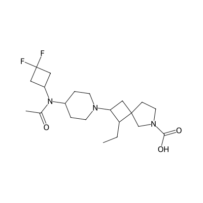 CCC1C(N2CCC(N(C(C)=O)C3CC(F)(F)C3)CC2)CC12CCN(C(=O)O)C2